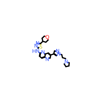 c1nc2ccc(Nc3nnc(C4CCOCC4)s3)nc2cc1-c1cnn(CCCN2CCCC2)c1